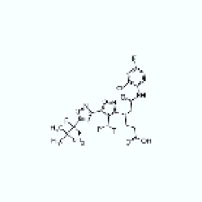 CC(C)(C)C(F)(F)c1cc(-c2onc(C(CCC(=O)O)CC(=O)Nc3ccc(F)cc3Cl)c2C(F)F)no1